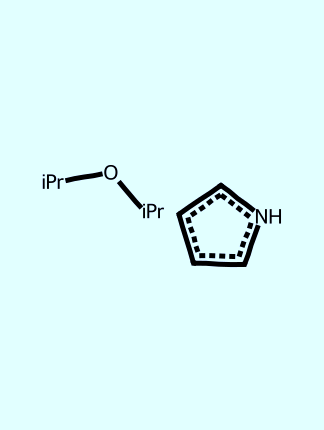 CC(C)OC(C)C.c1cc[nH]c1